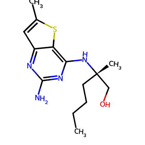 CCCC[C@@](C)(CO)Nc1nc(N)nc2cc(C)sc12